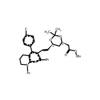 CC(=O)N1CCCc2c1nc(C(C)C)c(C=C[C@@H]1C[C@H](CC(=O)OC(C)(C)C)OC(C)(C)O1)c2-c1ccc(F)cc1